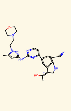 C/C(O)=C1\CNc2c(C#N)cc(-c3ccnc(Nc4cc(C)n(CCN5CCOCC5)n4)n3)cc21